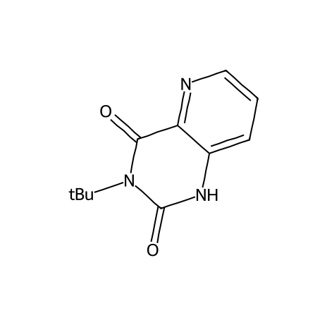 CC(C)(C)n1c(=O)[nH]c2cccnc2c1=O